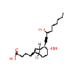 CCCCCCC(O)C#C[C@@H]1[C@H]2CC(=CCCC(=O)O)[C@H]2CC[C@H]1O